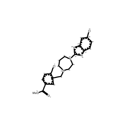 COC(=O)c1ccc(Cl)c(CN2CCCN(c3nc4ccc(Cl)cc4s3)CC2)c1